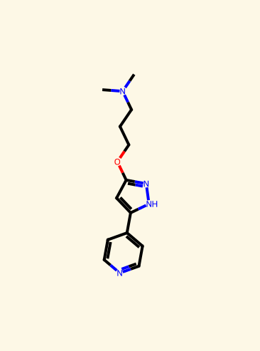 CN(C)CCCOc1cc(-c2ccncc2)[nH]n1